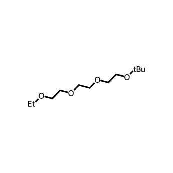 CCOCCOCCOCCOC(C)(C)C